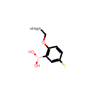 CCCCCCCCOc1ccc(F)cc1B(O)O